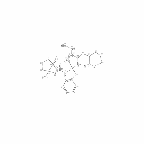 CC(O)C(Cc1ccccc1)(NC(=O)OC1(C(C)C)CCCS1(=O)=O)N1CC2CCCCC2CC1C(=O)NC(C)(C)C